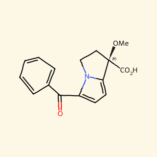 CO[C@]1(C(=O)O)CCn2c(C(=O)c3ccccc3)ccc21